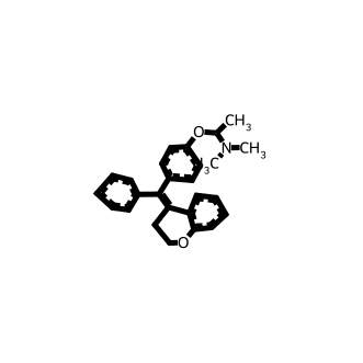 CC(Oc1ccc(C(=C2CCOc3ccccc32)c2ccccc2)cc1)N(C)C